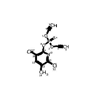 C#COP(=S)(OC#C)Oc1nc(Cl)c(C)cc1Cl